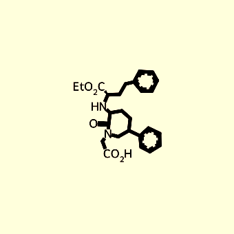 CCOC(=O)[C@@H](CCc1ccccc1)NC1CCC(c2ccccc2)CN(CC(=O)O)C1=O